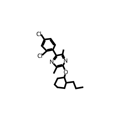 CCCC1CCCCC1Oc1nc(C)c(-c2ccc(Cl)cc2Cl)nc1C